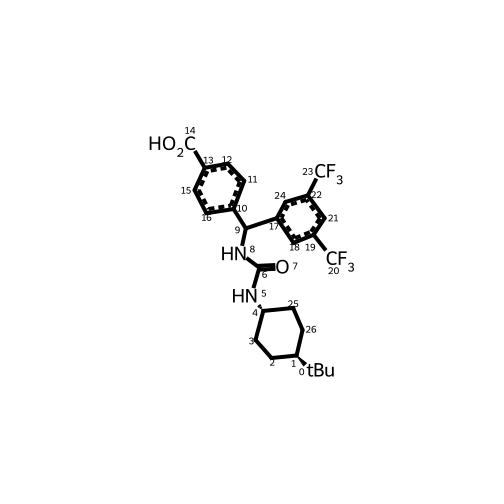 CC(C)(C)[C@H]1CC[C@H](NC(=O)NC(c2ccc(C(=O)O)cc2)c2cc(C(F)(F)F)cc(C(F)(F)F)c2)CC1